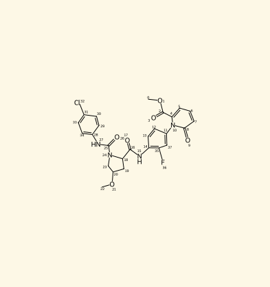 COC(=O)c1cccc(=O)n1-c1ccc(NC(=O)C2CC(OC)CN2C(=O)Nc2ccc(Cl)cc2)c(F)c1